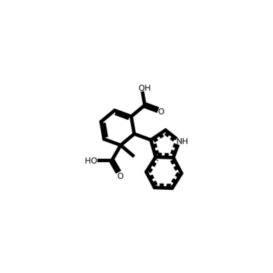 CC1(C(=O)O)C=CC=C(C(=O)O)C1c1c[nH]c2ccccc12